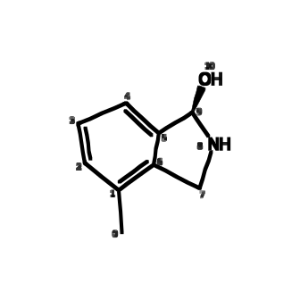 Cc1cccc2c1CN[C@@H]2O